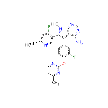 C#Cc1cc(F)c(-c2c(-c3ccc(Oc4nccc(C)n4)c(F)c3)c3c(N)ncnc3n2C)cn1